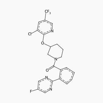 O=C(c1ccccc1-c1ncc(F)cn1)N1CCCC(Oc2ncc(C(F)(F)F)cc2Cl)C1